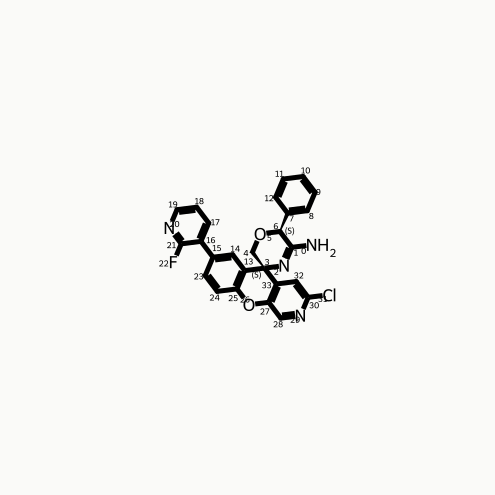 NC1=N[C@@]2(CO[C@H]1c1ccccc1)c1cc(-c3cccnc3F)ccc1Oc1cnc(Cl)cc12